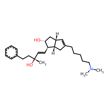 CN(C)CCCCCC1=C[C@H]2C[C@@H](O)[C@H](/C=C/[C@](C)(O)CCc3ccccc3)[C@H]2C1